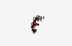 CC(C)(C)C1CCC(N2C(=Nc3cccc(-c4cccc(OC(F)(F)F)c4)c3)OCC2c2ccc(C(=O)NCCC(=O)O)cc2)CC1